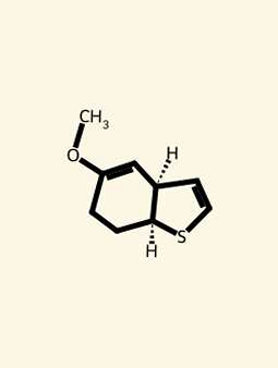 COC1=C[C@H]2C=CS[C@H]2CC1